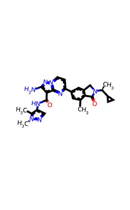 Cc1cc(-c2ccn3nc(N)c(C(=O)Nc4cnn(C)c4C)c3n2)cc2c1C(=O)N([C@@H](C)C1CC1)C2